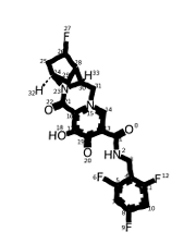 O=C(NCc1c(F)cc(F)cc1F)c1cn2c(c(O)c1=O)C(=O)N1[C@H]3CC(F)C(C3)[C@H]1C2